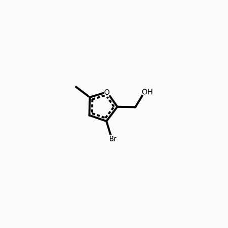 Cc1cc(Br)c(CO)o1